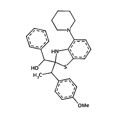 COc1ccc(C(C)C2(C(O)c3ccccc3)Nc3c(cccc3N3CCCCC3)S2)cc1